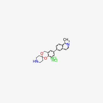 Cc1nccc2cc(-c3ccc4c(c3)COC3(CCNCC3)O4)ccc12.Cl.Cl